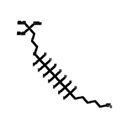 CO[Si](CCCOC(F)(F)C(F)(F)C(F)(F)C(F)(F)C(F)(F)C(F)(F)C(F)(F)CCCCCC(F)(F)F)(OC)OC